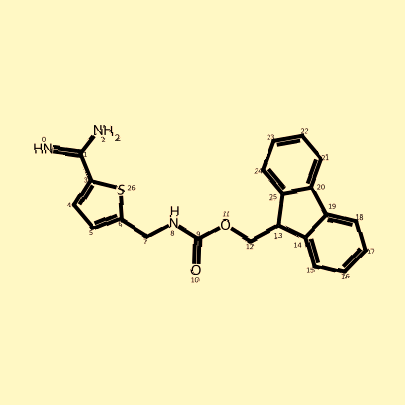 N=C(N)c1ccc(CNC(=O)OCC2c3ccccc3-c3ccccc32)s1